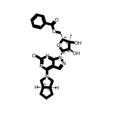 C[C@@]1(O)[C@@H](COC(=O)c2ccccc2)O[C@@H](n2ncc3c(N4C[C@H]5CCC[C@H]5C4)nc(Cl)nc32)[C@@H]1O